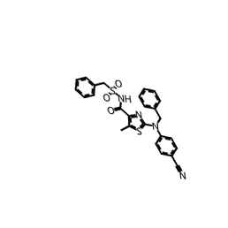 Cc1sc(N(Cc2ccccc2)c2ccc(C#N)cc2)nc1C(=O)NS(=O)(=O)Cc1ccccc1